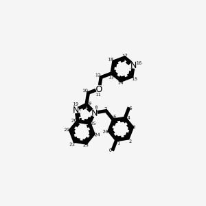 Cc1ccc(C)c(Cn2c(COCc3ccncc3)nc3ccccc32)c1